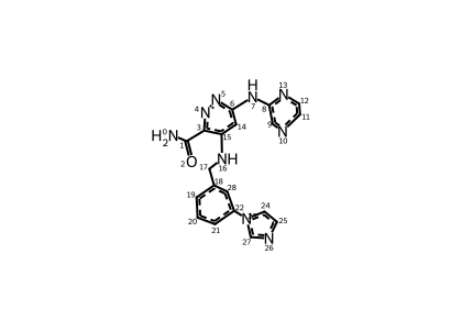 NC(=O)c1nnc(Nc2cnccn2)cc1NCc1cccc(-n2ccnc2)c1